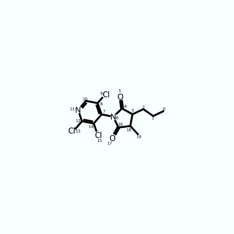 CCCC1C(=O)N(c2c(Cl)cnc(Cl)c2Cl)C(=O)C1C